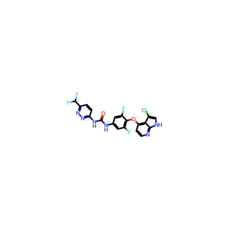 O=C(Nc1cc(F)c(Oc2ccnc3[nH]cc(Cl)c23)c(F)c1)Nc1ccc(C(F)F)nn1